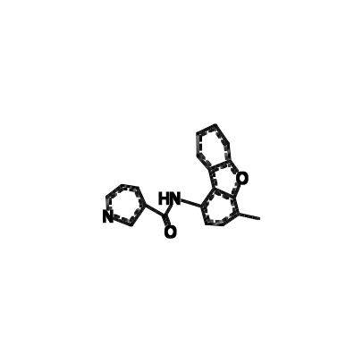 Cc1ccc(NC(=O)c2cccnc2)c2c1oc1ccccc12